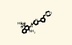 Nc1c(/N=N/c2ccc(-c3cccc(CN4CCOCC4)c3)nc2)cc(S(=O)(=O)O)c2ccccc12